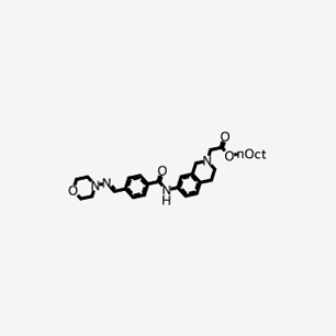 CCCCCCCCOC(=O)CN1CCc2ccc(NC(=O)c3ccc(C=NN4CCOCC4)cc3)cc2C1